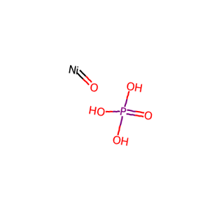 O=P(O)(O)O.[O]=[Ni]